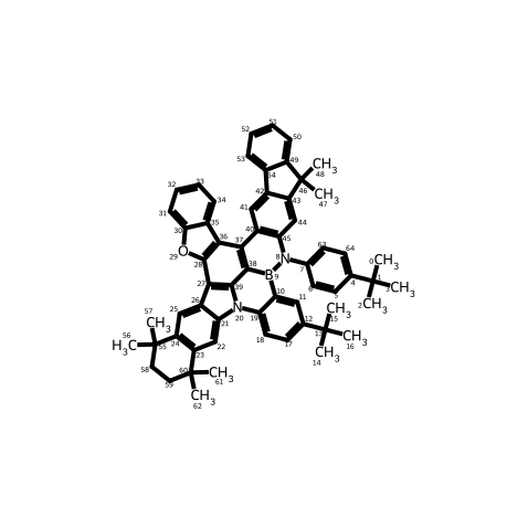 CC(C)(C)c1ccc(N2B3c4cc(C(C)(C)C)ccc4-n4c5cc6c(cc5c5c7oc8ccccc8c7c(c3c54)-c3cc4c(cc32)C(C)(C)c2ccccc2-4)C(C)(C)CCC6(C)C)cc1